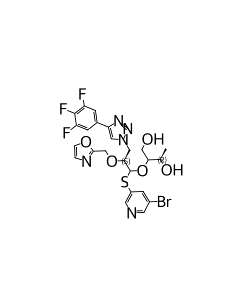 C[C@@H](O)C(CO)OC(Sc1cncc(Br)c1)[C@H](Cn1cc(-c2cc(F)c(F)c(F)c2)nn1)OCc1ncco1